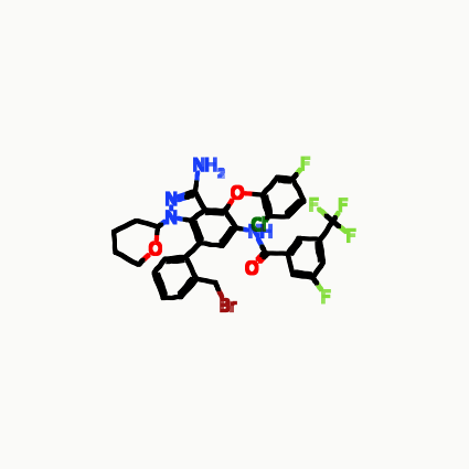 Nc1nn(C2CCCCO2)c2c(-c3ccccc3CBr)cc(NC(=O)c3cc(F)cc(C(F)(F)F)c3)c(Oc3cc(F)ccc3Cl)c12